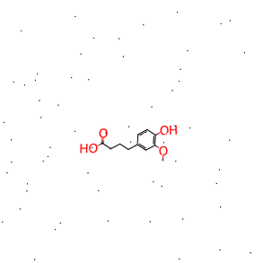 COc1cc(CCCC(=O)O)ccc1O